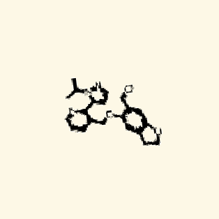 CC(C)n1nccc1-c1ncccc1COc1cc2c(cc1C=O)OCC2